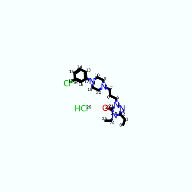 CCc1nn(CCCN2CCN(c3cccc(Cl)c3)CC2)c(=O)n1CC.Cl